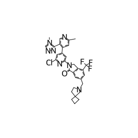 Cc1cc(-c2cc(Cl)nc(N3Cc4c(cc(CN5CCC6(CCC6)C5)cc4C(F)(F)F)C3=O)c2)c(-c2nncn2C)cn1